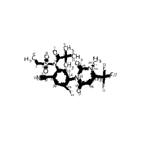 CCS(=O)(=O)N(C(=O)C(C)(C)C)c1cc(-n2c(=O)cc(C(F)(F)F)n(C)c2=O)c(F)cc1C#N